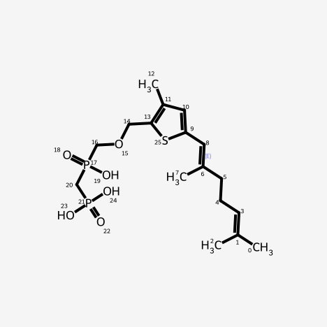 CC(C)=CCC/C(C)=C/c1cc(C)c(COCP(=O)(O)CP(=O)(O)O)s1